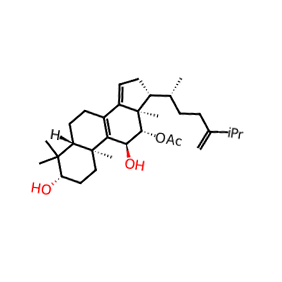 C=C(CC[C@@H](C)[C@H]1CC=C2C3=C([C@H](O)[C@@H](OC(C)=O)[C@@]21C)[C@@]1(C)CC[C@H](O)C(C)(C)[C@@H]1CC3)C(C)C